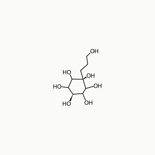 OCCC[C@]1(O)C(O)C(O)[C@@H](O)C(O)C1O